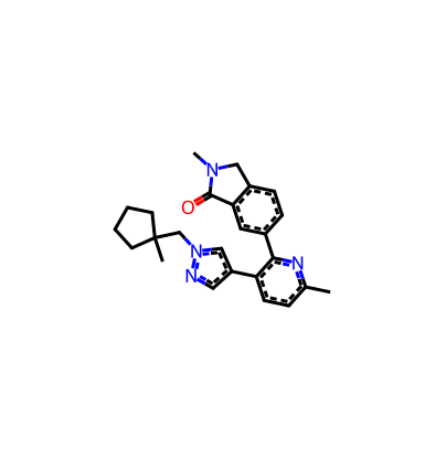 Cc1ccc(-c2cnn(CC3(C)CCCC3)c2)c(-c2ccc3c(c2)C(=O)N(C)C3)n1